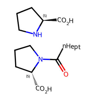 CCCCCCCC(=O)N1CCC[C@H]1C(=O)O.O=C(O)[C@@H]1CCCN1